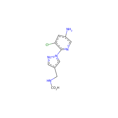 Nc1cnc(-n2cc(CNC(=O)O)cn2)c(Cl)c1